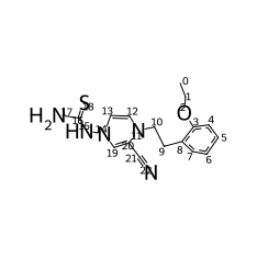 CCOc1ccccc1CCN1C=CN(NC(N)=S)C=C1C#N